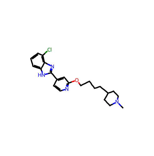 CN1CCC(CCCCOc2cc(-c3nc4c(Cl)cccc4[nH]3)ccn2)CC1